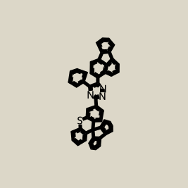 c1ccc(-c2nc(-c3ccc4c(c3)Sc3ccccc3C43c4ccccc4-c4ccccc43)nnc2-c2ccc3c4c(cccc24)-c2ccccc2-3)cc1